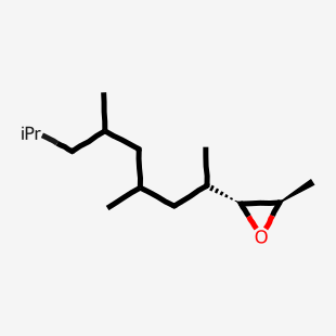 CC(C)CC(C)CC(C)CC(C)[C@H]1O[C@@H]1C